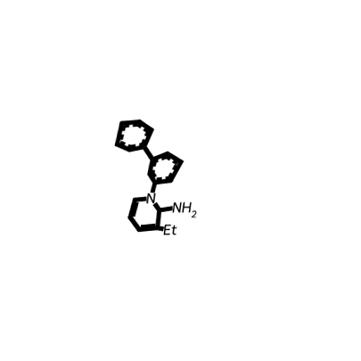 CCC1=CC=CN(c2cccc(-c3ccccc3)c2)C1N